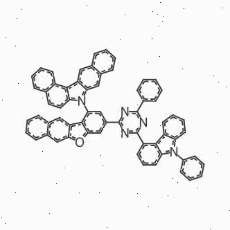 c1ccc(-c2nc(-c3cc(-n4c5cc6ccccc6cc5c5c6ccccc6ccc54)c4c(c3)oc3cc5ccccc5cc34)nc(-c3cccc4c3c3ccccc3n4-c3ccccc3)n2)cc1